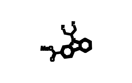 COC(=O)c1ccc2c3ccccc3n(C(CF)CF)c2c1